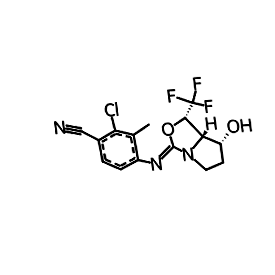 Cc1c(/N=C2\O[C@H](C(F)(F)F)[C@@H]3[C@H](O)CCN23)ccc(C#N)c1Cl